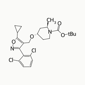 C[C@@H]1C[C@@H](OCc2c(-c3c(Cl)cccc3Cl)noc2C2CC2)CCN1C(=O)OC(C)(C)C